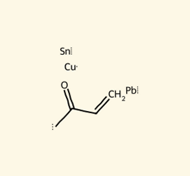 [C]C(=O)C=C.[Cu].[Pb].[Sn]